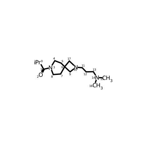 CC(C)C(=O)N1CCC2(CC1)CN(CCCN(C)C)C2